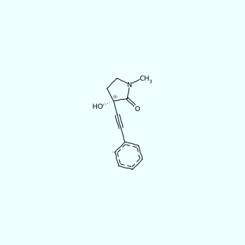 CN1CC[C@](O)(C#Cc2[c]cccc2)C1=O